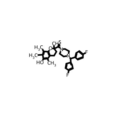 Cc1c(C)c2c(c(C)c1O)CCC(C)(C(=S)N1CCN(C(c3ccc(F)cc3)c3ccc(F)cc3)CC1)O2